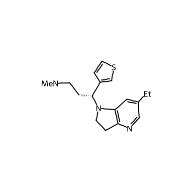 CCc1cnc2c(c1)N([C@H](CCNC)c1ccsc1)CC2